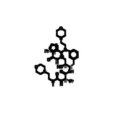 CC(C)[C@H](NC(=O)N(C)CCN1CCOCC1)C(=O)N[C@@H](Cc1ccccc1)[C@@H](O)CN(Cc1cccs1)NC(=O)[C@@H](NC(=O)N(C)CCN1CCOCC1)C(C)C